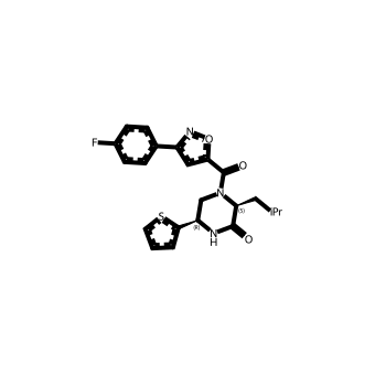 CC(C)C[C@H]1C(=O)N[C@@H](c2cccs2)CN1C(=O)c1cc(-c2ccc(F)cc2)no1